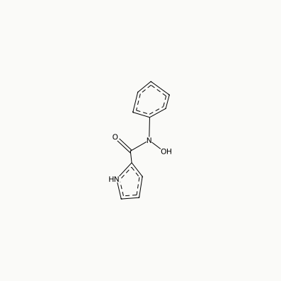 O=C(c1ccc[nH]1)N(O)c1ccccc1